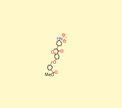 COC(=O)c1cccc(COc2ccc3c(=O)c(-c4ccc(NS(C)(=O)=O)cc4)coc3c2)c1